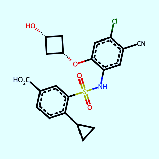 N#Cc1cc(NS(=O)(=O)c2cc(C(=O)O)ccc2C2CC2)c(O[C@H]2C[C@@H](O)C2)cc1Cl